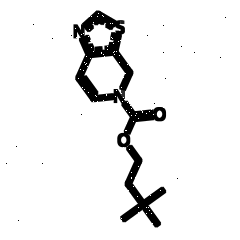 CC(C)(C)CCOC(=O)N1C=Cc2ncsc2C1